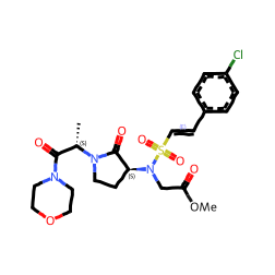 COC(=O)CN([C@H]1CCN([C@@H](C)C(=O)N2CCOCC2)C1=O)S(=O)(=O)/C=C/c1ccc(Cl)cc1